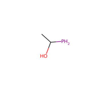 CC(O)P